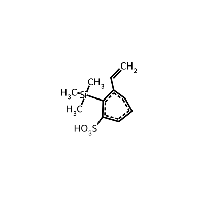 C=Cc1cccc(S(=O)(=O)O)c1[Si](C)(C)C